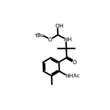 CC(=O)Nc1c(C)cccc1C(=O)C(C)(C)NC(O)OC(C)(C)C